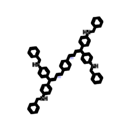 C(/C=C/c1ccc(/C=C/C=C(c2ccc(NCc3ccccc3)cc2)c2ccc(NCc3ccccc3)cc2)cc1)=C(c1ccc(NCc2ccccc2)cc1)c1ccc(NCc2ccccc2)cc1